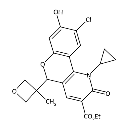 CCOC(=O)c1cc2c(n(C3CC3)c1=O)-c1cc(Cl)c(O)cc1OC2C1(C)COC1